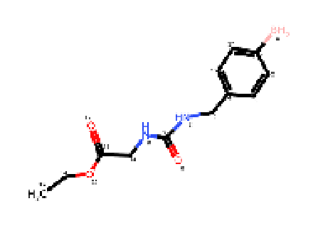 Bc1ccc(CNC(=O)NCC(=O)OCC)cc1